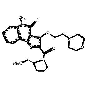 COC[C@H]1CCCN1C(=O)c1sc2c(c1OCCN1CCOCC1)c(=O)n(C)c1ccccc21